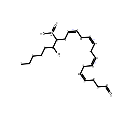 CCCCCC(O)C(C/C=C\C/C=C\C/C=C\C/C=C\CC[C]=O)[N+](=O)[O-]